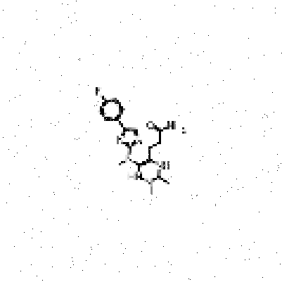 CC1NNC(N(C)c2nc(-c3ccc(F)cc3)cs2)=C(CCC(N)=O)N1